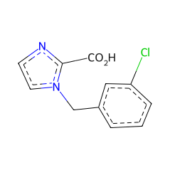 O=C(O)c1nccn1Cc1cccc(Cl)c1